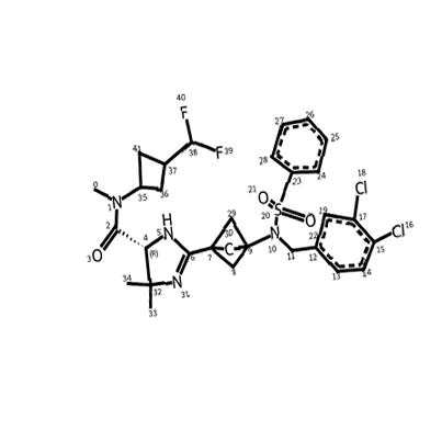 CN(C(=O)[C@@H]1NC(C23CC(N(Cc4ccc(Cl)c(Cl)c4)S(=O)(=O)c4ccccc4)(C2)C3)=NC1(C)C)C1CC(C(F)F)C1